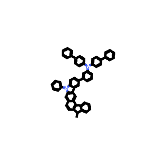 CC1c2ccccc2-c2c1ccc1cc3c(cc21)c1cc(-c2cccc(N(c4ccc(-c5ccccc5)cc4)c4ccc(-c5ccccc5)cc4)c2)ccc1n3-c1ccccc1